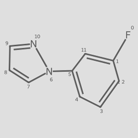 Fc1[c]ccc(-n2cccn2)c1